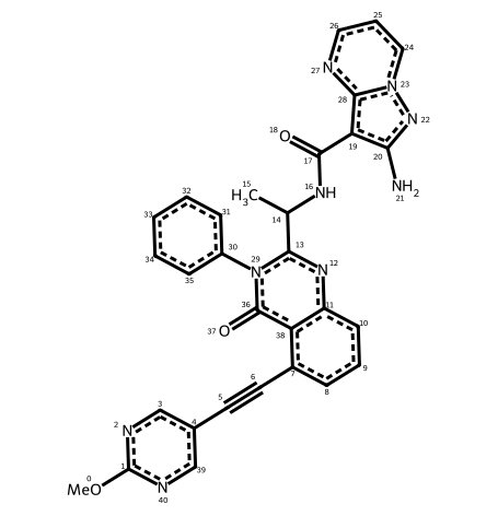 COc1ncc(C#Cc2cccc3nc(C(C)NC(=O)c4c(N)nn5cccnc45)n(-c4ccccc4)c(=O)c23)cn1